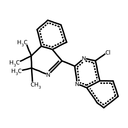 CC1(C)N=C(c2nc(Cl)c3ccccc3n2)c2ccccc2C1(C)C